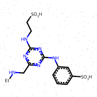 CCNCc1nc(NCCS(=O)(=O)O)nc(Nc2cccc(S(=O)(=O)O)c2)n1